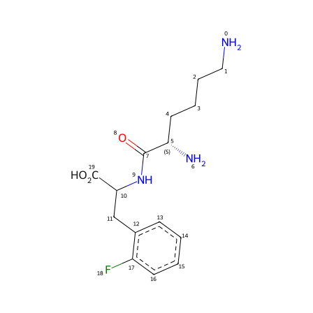 NCCCC[C@H](N)C(=O)NC(Cc1ccccc1F)C(=O)O